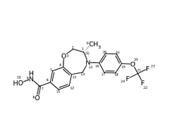 C[C@H]1COc2cc(C(=O)NO)ccc2CN1c1ccc(OC(F)(F)F)cc1